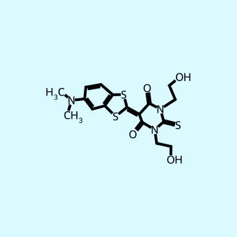 CN(C)c1ccc2c(c1)SC(=C1C(=O)N(CCO)C(=S)N(CCO)C1=O)S2